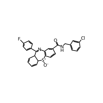 O=C(NCc1cccc(Cl)c1)c1ccc2c(c1)N=C(c1ccc(F)cc1)C1C=CC=CC1[S+]2[O-]